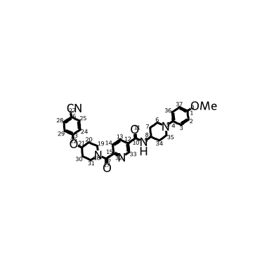 COc1ccc(N2CCC(NC(=O)c3ccc(C(=O)N4CCC(Oc5ccc(C#N)cc5)CC4)nc3)CC2)cc1